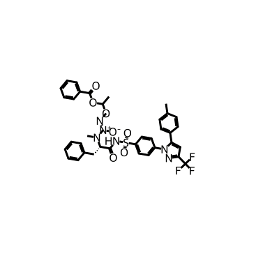 Cc1ccc(-c2cc(C(F)(F)F)nn2-c2ccc(S(=O)(=O)NC(=O)[C@H](Cc3ccccc3)N(C)/[N+]([O-])=N/OC(C)OC(=O)c3ccccc3)cc2)cc1